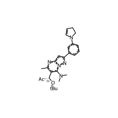 CC(=O)[C@@H](OC(C)(C)C)c1c(C)nc2cc(-c3cccc(N4C=CCC4)c3)nn2c1N(C)C